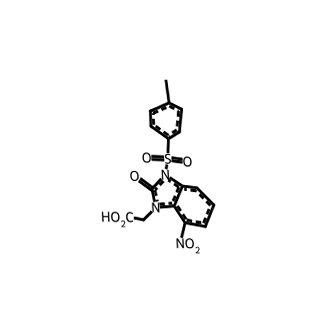 Cc1ccc(S(=O)(=O)n2c(=O)n(CC(=O)O)c3c([N+](=O)[O-])cccc32)cc1